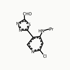 CC(C)Nc1cc(Cl)ncc1-c1nnc(C=O)s1